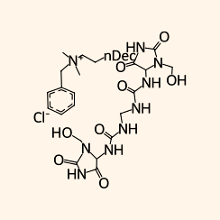 CCCCCCCCCCCC[N+](C)(C)Cc1ccccc1.O=C(NCNC(=O)NC1C(=O)NC(=O)N1CO)NC1C(=O)NC(=O)N1CO.[Cl-]